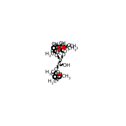 C=N[C@@]12CCC[C@H]3[C@@H](C)C(OCCN(CCO)CCN(CCOC4OC[C@@]56OO[C@@](C)(OC)CC[C@H]5[C@H](C)CC[C@H]6[C@H]4C)CCOC4O[C@@H]5O[C@@]6(C)CC[C@H]7[C@H](C)CC[C@@H]([C@H]4C)[C@@]57OO6)O[C@@H]4O[C@@](C)(CC1)OO[C@@]432